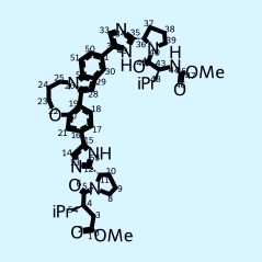 COC(=O)C[C@H](C(=O)N1CCC[C@H]1c1ncc(-c2ccc3c(c2)OCCCn2c-3cc3cc(-c4cnc([C@@H]5CCCN5C(=O)[C@@H](NC(=O)OC)C(C)C)[nH]4)ccc32)[nH]1)C(C)C